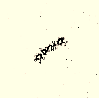 CN(C)c1cc(NC(=O)NCc2cc3c(s2)C(=O)N(C2CCC(=O)NC2=O)C3)ccc1F